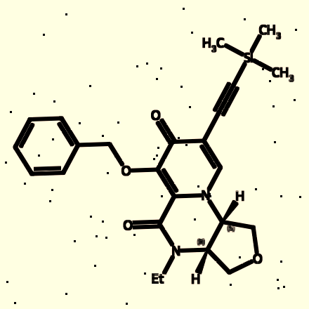 CCN1C(=O)c2c(OCc3ccccc3)c(=O)c(C#C[Si](C)(C)C)cn2[C@@H]2COC[C@@H]21